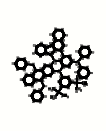 CC(C)(C)c1cc(N2c3cc4c(Cc5ccccc5)c5ccccc5c(Cc5ccccc5)c4cc3B3c4c(cc(N(c5ccccc5)c5ccccc5)cc42)-c2cc4ccccc4c4c5ccccc5n3c24)cc(C(C)(C)C)c1